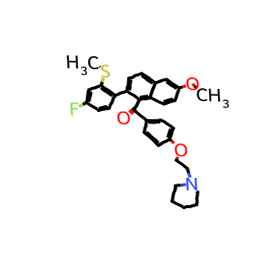 COc1ccc2c(C(=O)c3ccc(OCCN4CCCCC4)cc3)c(-c3ccc(F)cc3SC)ccc2c1